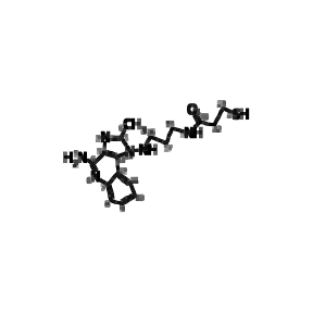 Cc1nc2c(N)nc3ccccc3c2n1NCCCNC(=O)CCS